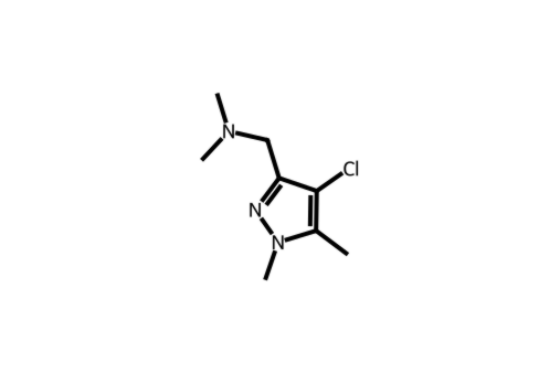 Cc1c(Cl)c(CN(C)C)nn1C